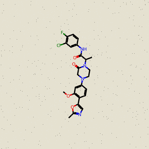 COc1cc(N2CCN(C(C)C(=O)Nc3ccc(F)c(Cl)c3)C(=O)C2)ccc1-c1cnc(C)o1